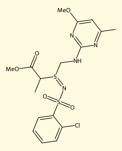 COC(=O)C(C)S(CNc1nc(C)cc(OC)n1)=NS(=O)(=O)c1ccccc1Cl